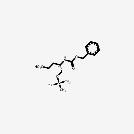 CC(C)(C)[Si](C)(C)OC[C@H](CCC(=O)O)NC(=O)OCc1ccccc1